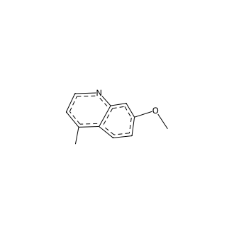 COc1ccc2c(C)ccnc2c1